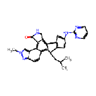 CC(C)CC1c2ccc(Nc3ncccn3)cc2-c2c3c(c4c(ccc5nn(C)cc54)c21)C(=O)NC3